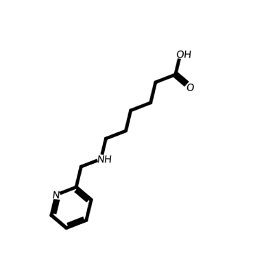 O=C(O)CCCCCNCc1ccccn1